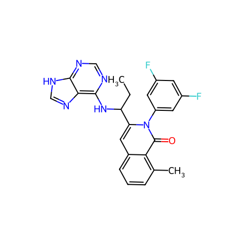 CCC(Nc1ncnc2[nH]cnc12)c1cc2cccc(C)c2c(=O)n1-c1cc(F)cc(F)c1